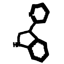 c1ccc(C2CNc3ccccc32)nc1